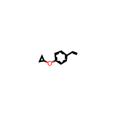 C=Cc1ccc(OC2CC2)cc1